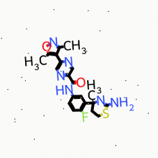 Cc1noc(C)c1-c1cnc(C(=O)Nc2ccc(F)c([C@]3(C)CCSC(N)=N3)c2)cn1